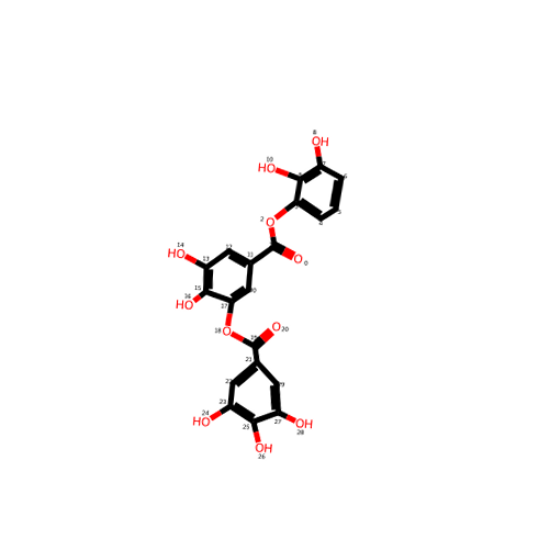 O=C(Oc1cccc(O)c1O)c1cc(O)c(O)c(OC(=O)c2cc(O)c(O)c(O)c2)c1